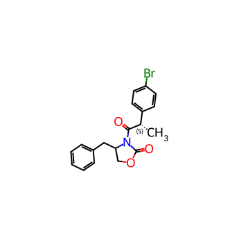 C[C@H](C(=O)N1C(=O)OCC1Cc1ccccc1)c1ccc(Br)cc1